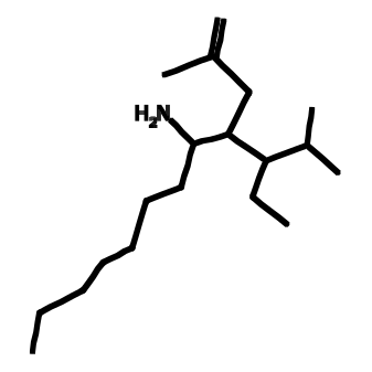 C=C(C)CC(C(N)CCCCCCC)C(CC)C(C)C